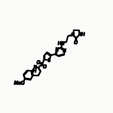 COc1ccc2c(c1)CCC(S(=O)(=O)c1ccc(-c3ccnc(NCCN4CCNC4=O)n3)s1)N2